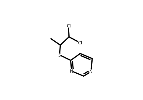 CC(Sc1ccncn1)C(Cl)Cl